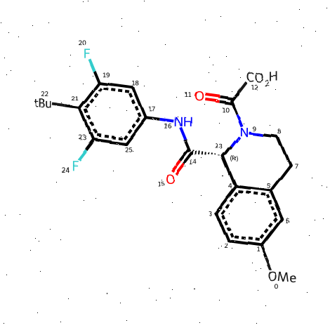 COc1ccc2c(c1)CCN(C(=O)C(=O)O)[C@H]2C(=O)Nc1cc(F)c(C(C)(C)C)c(F)c1